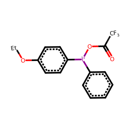 CCOc1ccc([I+](OC(=O)C(F)(F)F)c2ccccc2)cc1